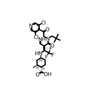 C[C@H]1C[C@@H](N/C(=C(\C=N)C(=O)N(CC(=O)c2c(Cl)cncc2Cl)CC(C)(C)C)C(F)(F)F)CC[C@@H]1C(=O)O